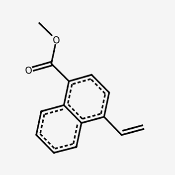 C=Cc1ccc(C(=O)OC)c2ccccc12